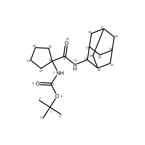 CC(C)(C)OC(=O)NC1(C(=O)NC2C3CC4CC(C3)CC2C4)CCCC1